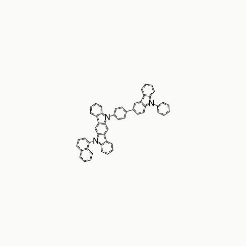 c1ccc(-n2c3ccccc3c3cc(-c4ccc(-n5c6ccccc6c6cc7c(cc65)c5ccccc5n7-c5cccc6ccccc56)cc4)ccc32)cc1